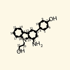 Nc1cc(-c2ccc(O)cc2)cc2c3ccccc3n(CCO)c12